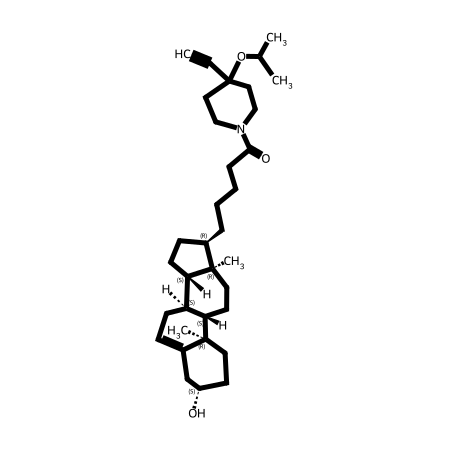 C#CC1(OC(C)C)CCN(C(=O)CCCC[C@@H]2CC[C@H]3[C@@H]4CC=C5C[C@@H](O)CC[C@]5(C)[C@H]4CC[C@]23C)CC1